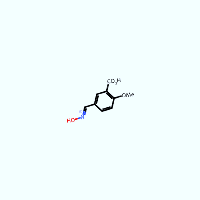 COc1ccc(/C=N/O)cc1C(=O)O